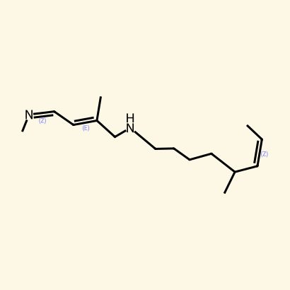 C/C=C\C(C)CCCCNC/C(C)=C/C=N\C